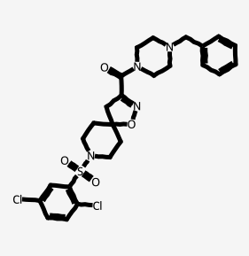 O=C(C1=NOC2(CCN(S(=O)(=O)c3cc(Cl)ccc3Cl)CC2)C1)N1CCN(Cc2ccccc2)CC1